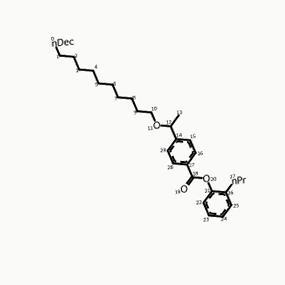 CCCCCCCCCCCCCCCCCCCCOC(C)c1ccc(C(=O)Oc2ccccc2CCC)cc1